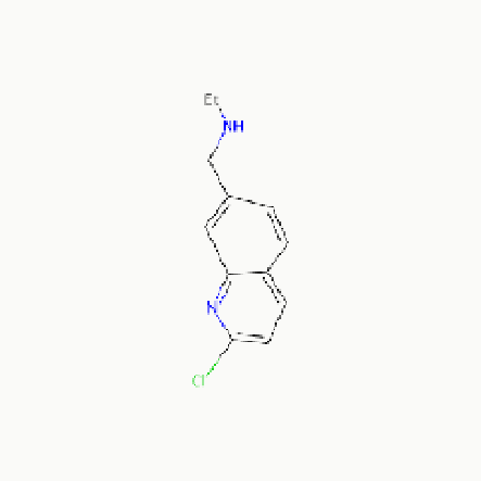 CCNCc1ccc2ccc(Cl)nc2c1